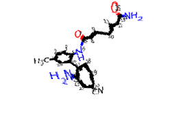 Cc1ccc(NC(=O)CCCCCC(N)=O)c(-c2ccc(C#N)cc2N)c1